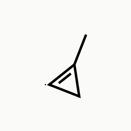 CC1=[C]C1